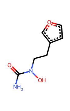 NC(=O)N(O)CCc1ccoc1